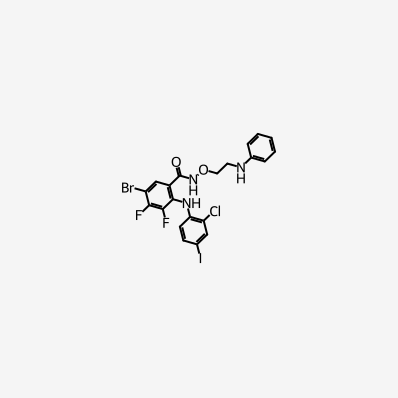 O=C(NOCCNc1ccccc1)c1cc(Br)c(F)c(F)c1Nc1ccc(I)cc1Cl